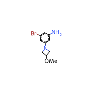 COC1CN(c2cc(N)cc(Br)c2)C1